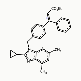 CCOC(=O)/C=C(\c1ccccc1)c1ccc(Cn2c(C3CC3)nc3c(C)cc(C)nc32)cc1